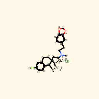 CS[C@@H](C(=O)O)C1(CCN(C)CCc2ccc3c(c2)OCO3)CCc2cc(F)ccc2C1C(C)C.Cl